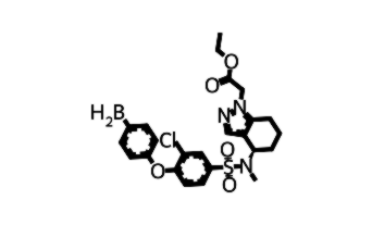 Bc1ccc(Oc2ccc(S(=O)(=O)N(C)[C@@H]3CCCc4c3cnn4CC(=O)OCC)cc2Cl)cc1